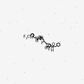 O=C(CC1CCCCC1)Nc1ccn(CCC(F)Cn2cc(C(=O)NCc3cccc(C(F)(F)F)n3)nn2)c(=O)c1F